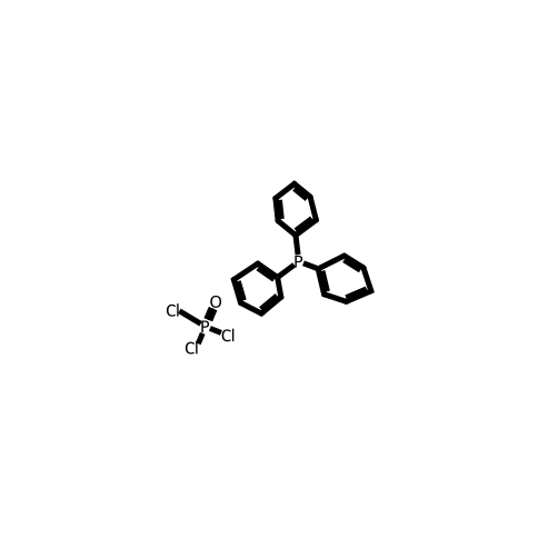 O=P(Cl)(Cl)Cl.c1ccc(P(c2ccccc2)c2ccccc2)cc1